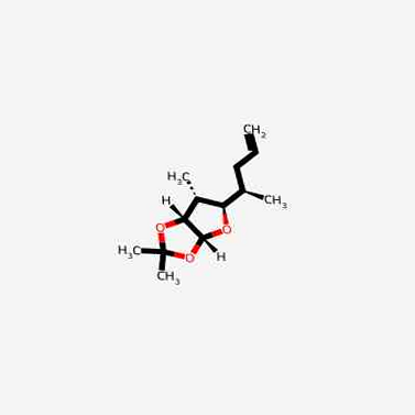 C=CC[C@@H](C)[C@H]1O[C@@H]2OC(C)(C)O[C@@H]2[C@@H]1C